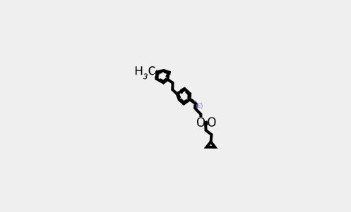 Cc1ccc(CCc2ccc(/C=C/COC(=O)CCC3CC3)cc2)cc1